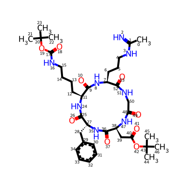 CC(=N)NCCC[C@@H]1NC(=O)[C@H](CCCCNC(=O)OC(C)(C)C)NC(=O)[C@@H](Cc2ccccc2)NC(=O)[C@H](CC(=O)OC(C)(C)C)NC(=O)CNC1=O